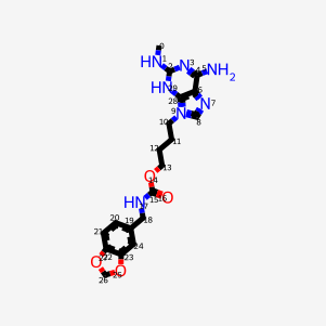 CNC1N=C(N)c2ncn(CCCCOC(=O)NCc3ccc4c(c3)OCO4)c2N1